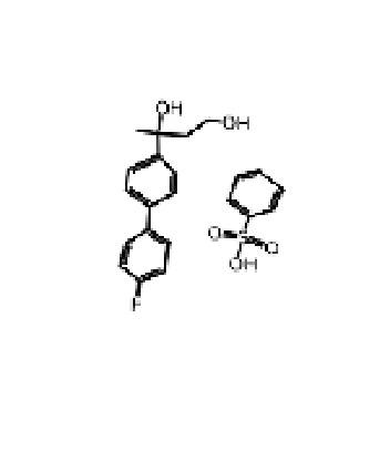 CC(O)(CCO)c1ccc(-c2ccc(F)cc2)cc1.O=S(=O)(O)c1ccccc1